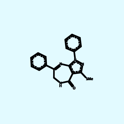 CSc1nn(-c2ccccc2)c2c1C(=O)NCC(c1ccccc1)=N2